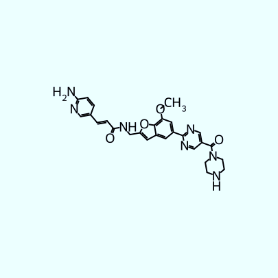 COc1cc(-c2ncc(C(=O)N3CCNCC3)cn2)cc2cc(CNC(=O)C=Cc3ccc(N)nc3)oc12